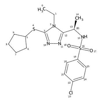 CCn1c(SC2CCCC2)nnc1[C@@H](C)NS(=O)(=O)c1ccc(Cl)cc1